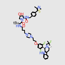 Cc1ncsc1-c1ccc(CNC(=O)[C@@H]2C[C@@H](O)CN2C(=O)[C@@H](NC(=O)CCCN2CCN(CCCOc3cc(F)c([C@@H]4c5[nH]c6ccccc6c5C[C@@H](C)N4CC(C)(C)F)c(F)c3)CC2)C(C)(C)C)cc1